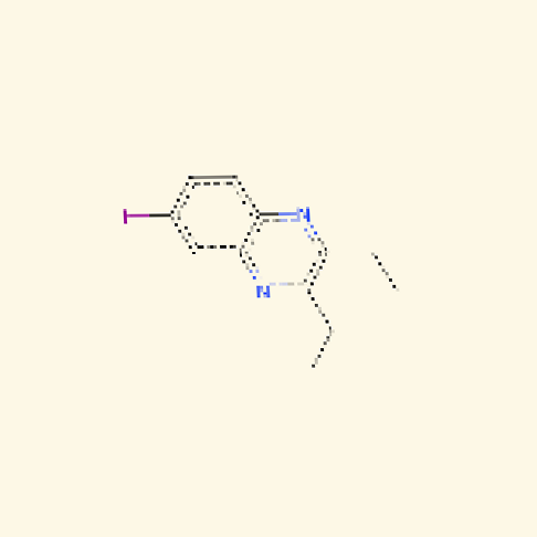 CCc1nc2ccc(I)cc2nc1CC